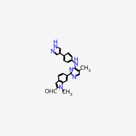 Cc1cnc(-c2ccc3cc(C=O)n(C)c3c2)nc1Nc1ccc(-c2cn[nH]c2)cc1